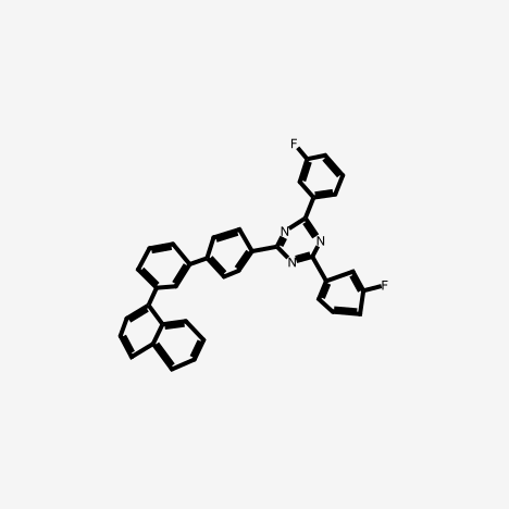 Fc1cccc(-c2nc(-c3ccc(-c4cccc(-c5cccc6ccccc56)c4)cc3)nc(-c3cccc(F)c3)n2)c1